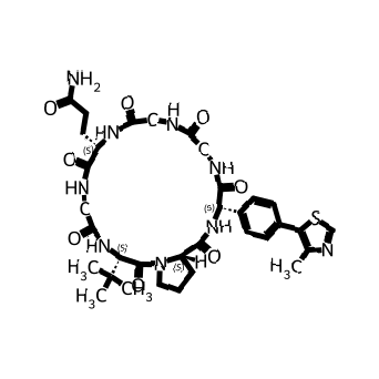 Cc1ncsc1-c1ccc([C@@H]2NC(=O)[C@@H]3CCCN3C(=O)[C@H](C(C)(C)C)NC(=O)CNC(=O)[C@H](CCC(N)=O)NC(=O)CNC(=O)CNC2=O)cc1